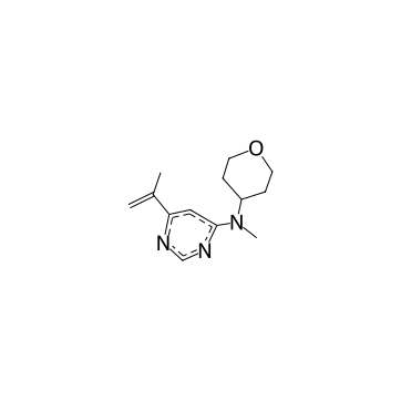 C=C(C)c1cc(N(C)C2CCOCC2)ncn1